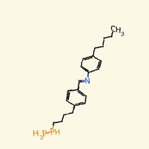 CCCCCc1ccc(N=Cc2ccc(CCCCPP)cc2)cc1